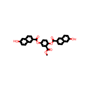 COC(=O)c1cc(OC(=O)c2ccc3cc(O)ccc3c2)ccc1OC(=O)c1ccc2cc(O)ccc2c1